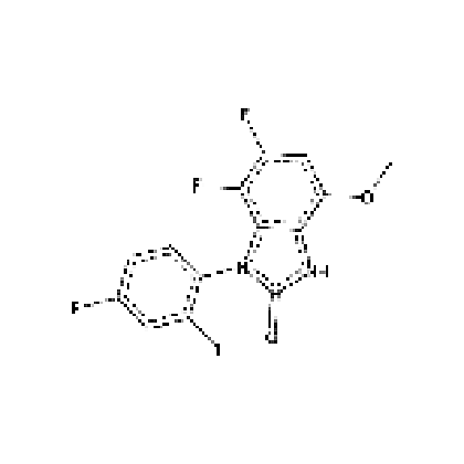 COc1cc(F)c(F)c2c1[nH]c(=O)n2-c1ccc(F)cc1I